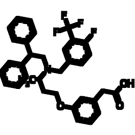 CC(CCOc1cccc(CC(=O)O)c1)N(Cc1ccc(F)c(C(F)(F)F)c1)CC(c1ccccc1)c1ccccc1